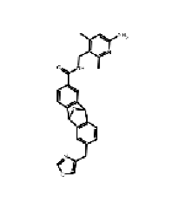 Cc1cc(N)nc(C)c1CNC(=O)c1ccc2c(c1)C1OC2c2cc(Cc3cocn3)ccc21